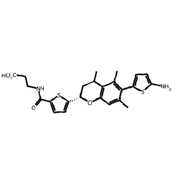 Cc1cc2c(c(C)c1-c1ccc(N)s1)C(C)C[C@@H](c1ccc(C(=O)NCCC(=O)O)s1)O2